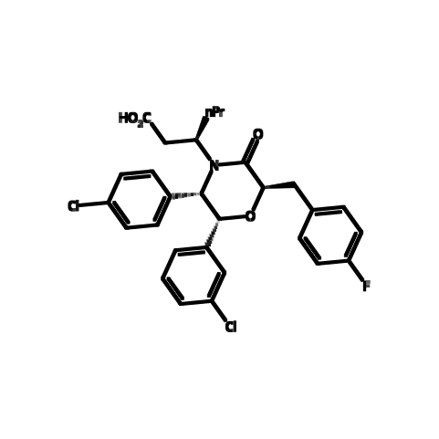 CCC[C@H](CC(=O)O)N1C(=O)[C@@H](Cc2ccc(F)cc2)O[C@H](c2cccc(Cl)c2)[C@@H]1c1ccc(Cl)cc1